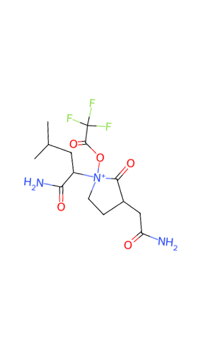 CC(C)CC(C(N)=O)[N+]1(OC(=O)C(F)(F)F)CCC(CC(N)=O)C1=O